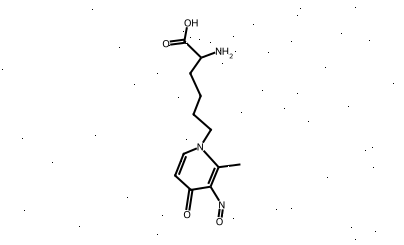 Cc1c(N=O)c(=O)ccn1CCCCC(N)C(=O)O